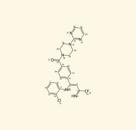 N=C(/C=C(\Nc1ccccc1Cl)c1ccc(C(=O)N2CCN(c3ncccn3)CC2)cc1)C(F)(F)F